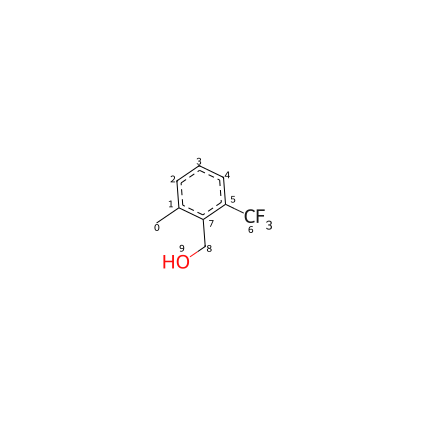 Cc1cccc(C(F)(F)F)c1CO